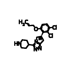 C=CCOc1ccc(Cl)c(Cl)c1[C@@H]1Cc2nnc(C3CCNCC3)n2C1